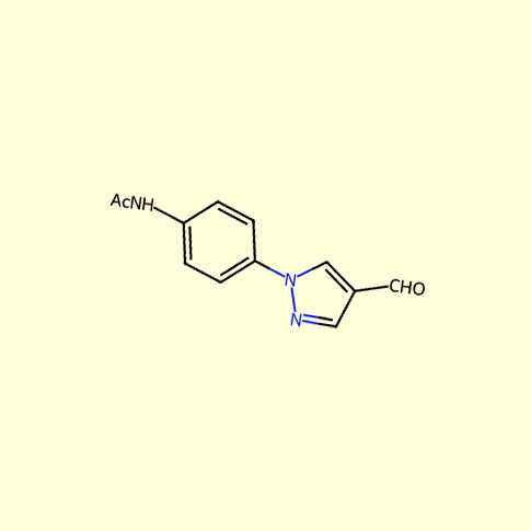 CC(=O)Nc1ccc(-n2cc(C=O)cn2)cc1